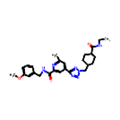 CCNC(=O)C1CCC(Cn2nnc(-c3cc(C)nc(C(=O)NCc4cccc(OC)c4)c3)n2)CC1